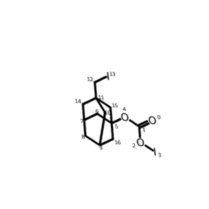 O=C(OI)OC12CC3CC(CC(CI)(C3)C1)C2